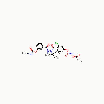 CNC(=O)Oc1cccc(C(=O)NN(C(=O)c2ccc(OC(=O)NOC(C)=O)cc2Cl)C(C)(C)C)c1